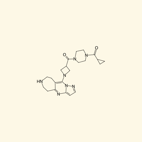 O=C(C1CC1)N1CCN(C(=O)C2CN(c3c4c(nc5ccnn35)CCNCC4)C2)CC1